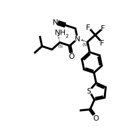 CC(=O)c1ccc(-c2ccc([C@H](N(CC#N)C(=O)[C@@H](N)CC(C)C)C(F)(F)F)cc2)s1